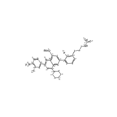 COc1cc(-c2cccc(CCCN[SH](=O)=O)c2F)cc2c(N3CCOCC3)nc(-c3cnc(N)c(Cl)c3)nc12